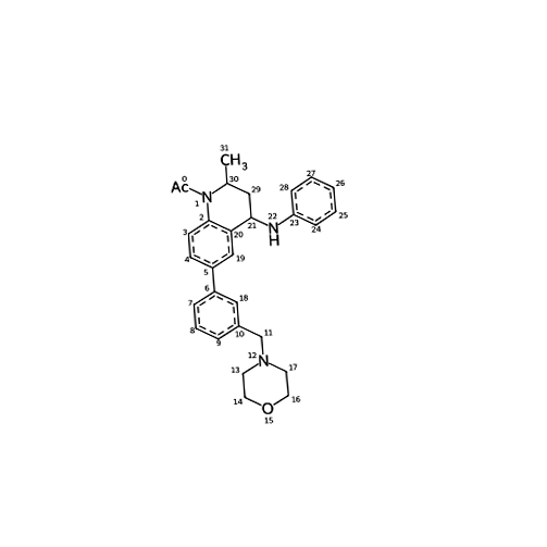 CC(=O)N1c2ccc(-c3cccc(CN4CCOCC4)c3)cc2C(Nc2ccccc2)CC1C